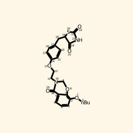 CCCCOc1cccc2c1OCN(CCOc1ccc(CC3SC(=O)NC3=O)cc1)C2=O